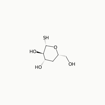 OC[C@@H]1C[C@H](O)[C@@H](O)[C@H](S)O1